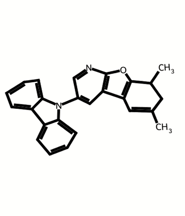 CC1=Cc2c(oc3ncc(-n4c5ccccc5c5ccccc54)cc23)C(C)C1